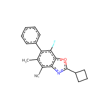 Cc1c(-c2ccccc2)c(F)c2oc(C3CCC3)nc2c1C#N